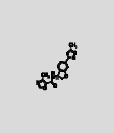 Cc1cc(-c2ccc3c(c2)OC[C@H]3NC(=O)c2ocnc2C)no1